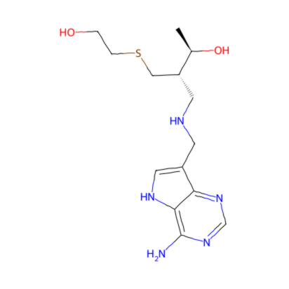 C[C@@H](O)[C@H](CNCc1c[nH]c2c(N)ncnc12)CSCCO